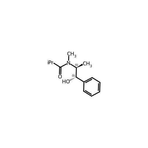 CC(C)C(=O)N(C)[C@@H](C)[C@@H](O)c1ccccc1